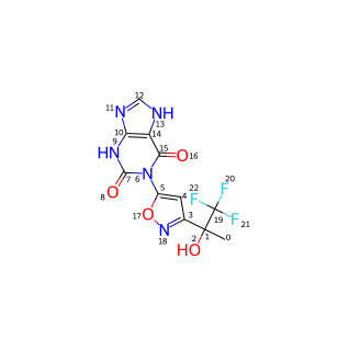 CC(O)(c1cc(-n2c(=O)[nH]c3nc[nH]c3c2=O)on1)C(F)(F)F